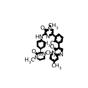 Cc1ccn2c(=O)c(-c3cccc(-c4cn(C)c(=O)c(NC5=CCC([C@@H]6C(=O)N(C)CCN6C)C=C5)n4)c3C)cnc2c1